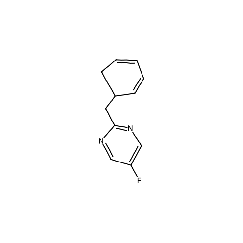 Fc1cnc(CC2C=CC=CC2)nc1